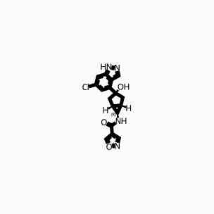 O=C(N[C@H]1[C@@H]2C[C@](O)(c3cc(Cl)cc4[nH]ncc34)C[C@@H]21)c1cnoc1